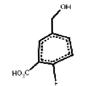 O=C(O)c1cc(CO)ccc1F